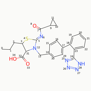 CCCC1SC(=NC(=O)C2CC2)N(Cc2ccc(-c3ccccc3-c3nnn[nH]3)cc2)C1C(=O)O